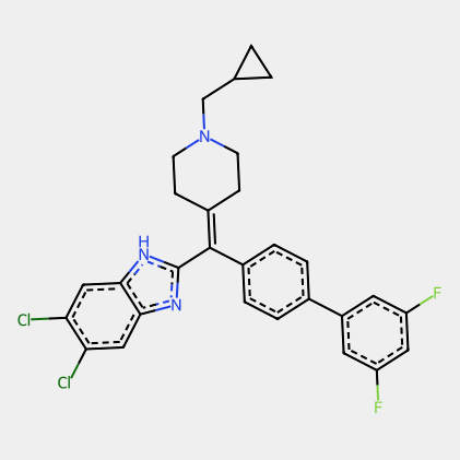 Fc1cc(F)cc(-c2ccc(C(=C3CCN(CC4CC4)CC3)c3nc4cc(Cl)c(Cl)cc4[nH]3)cc2)c1